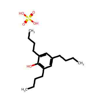 CCCCc1cc(CCCC)c(O)c(CCCC)c1.O=S(=O)(O)O